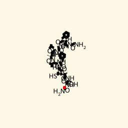 CC(C)C[C@@H](C(=O)N[C@@H](C)C(=O)N[C@H](C(=O)N[C@@H](Cc1ccccc1)C(=O)N[C@@H](CCS)C(=O)N(C)[C@@H](C)C(=O)N[C@@H](CO)C(=O)NCC(N)=O)C(C)C)N(C)C(=O)CNC(=O)[C@H](Cc1ccccc1)N(C)C(=O)[C@H](C)NC(=O)CN